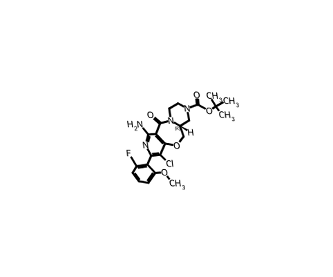 COc1cccc(F)c1-c1nc(N)c2c(c1Cl)OC[C@H]1CN(C(=O)OC(C)(C)C)CCN1C2=O